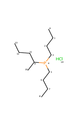 CCCCP(CCCC)C(C)CCC.Cl